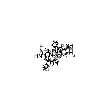 N=C(N)c1ccnc2c1cc(-c1cccs1)n2C(O)C(=O)OC(=O)C(O)n1c(-c2cccs2)cc2c(C(=N)N)ccnc21